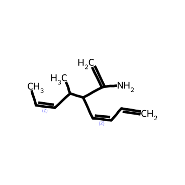 C=C/C=C\C(C(=C)N)C(C)/C=C\C